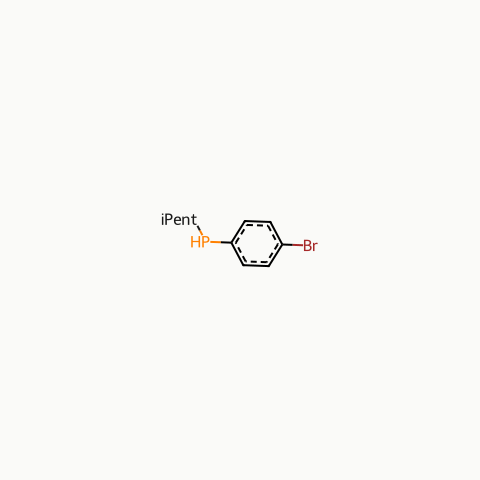 CCCC(C)Pc1ccc(Br)cc1